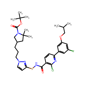 CC(C)COc1cc(F)cc(-c2ccc(C(=O)NSc3ccn(CCCC4CN(C(=O)OC(C)(C)C)C(C)(C)C4)n3)c(Cl)n2)c1